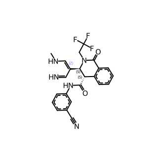 CN/C=C(\C=N)[C@@H]1[C@@H](C(=O)Nc2cccc(C#N)c2)c2ccccc2C(=O)N1CC(F)(F)F